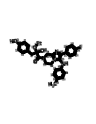 CCOC(C)(Cc1ccc(O)cc1)C(=O)N1CCn2c(nc(-c3ccc(F)cc3)c2Nc2ccc(C)cc2)C1